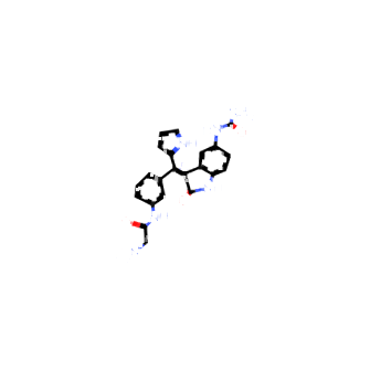 NCC(=O)Nc1cccc(/C(=C2\C(=O)Nc3ccc(NC(N)=O)cc32)c2ccc[nH]2)c1